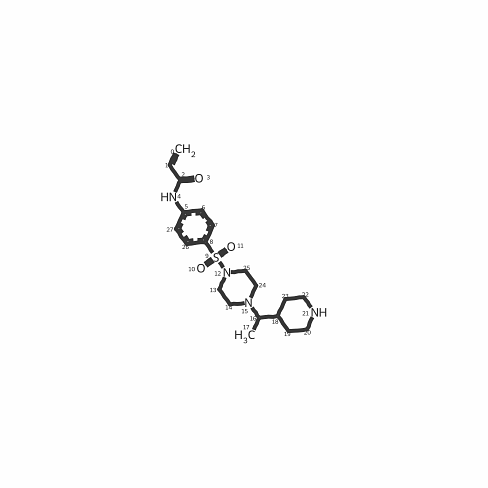 C=CC(=O)Nc1ccc(S(=O)(=O)N2CCN(C(C)C3CCNCC3)CC2)cc1